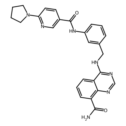 NC(=O)c1cccc2c(NCc3cccc(NC(=O)c4ccc(N5CCCC5)nc4)c3)ncnc12